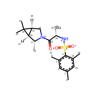 Cc1cc(C)c(S(=O)(=O)N[C@H](C(=O)N2C[C@H]3[C@@H]([C@H]2C)C3(C)C)C(C)(C)C)c(C)c1